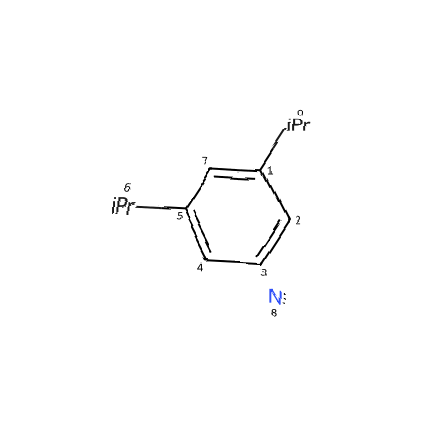 CC(C)c1cccc(C(C)C)c1.[N]